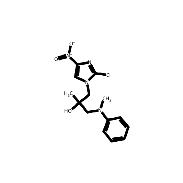 CN(CC(C)(O)Cn1cc([N+](=O)[O-])nc1Cl)c1ccccc1